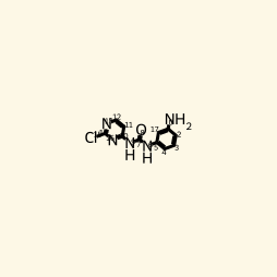 Nc1cccc(NC(=O)Nc2ccnc(Cl)n2)c1